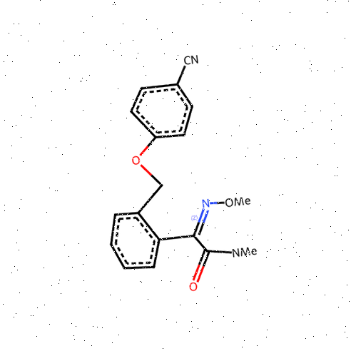 CNC(=O)/C(=N\OC)c1ccccc1COc1ccc(C#N)cc1